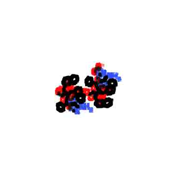 Nc1nc([N+](=O)[O-])nc2c1ncn2[C@]1(C(=O)c2ccccc2)O[C@H](CO)[C@](OC(=O)c2ccccc2)(C(=O)c2ccccc2)[C@]1(OC(=O)c1ccccc1)C(=O)c1ccccc1.Nc1ncnc2c1ncn2[C@]1(C(=O)c2ccccc2)O[C@H](CO)[C@](OC(=O)c2ccccc2)(C(=O)c2ccccc2)[C@]1(OC(=O)c1ccccc1)C(=O)c1ccccc1